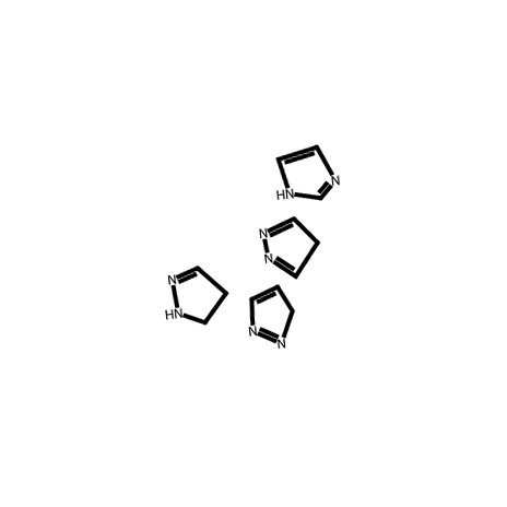 C1=CN=NC1.C1=NN=CC1.C1=NNCC1.c1c[nH]cn1